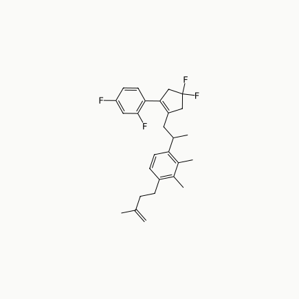 C=C(C)CCc1ccc(C(C)CC2=C(c3ccc(F)cc3F)CC(F)(F)C2)c(C)c1C